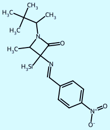 CC(N1C(=O)C([SiH3])(N=Cc2ccc([N+](=O)[O-])cc2)C1C)C(C)(C)C